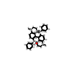 CN1CCOc2c1ccc([PH](=O)c1ccccc1)c2-c1c([PH](=O)c2ccccc2)ccc2c1OCCN2C